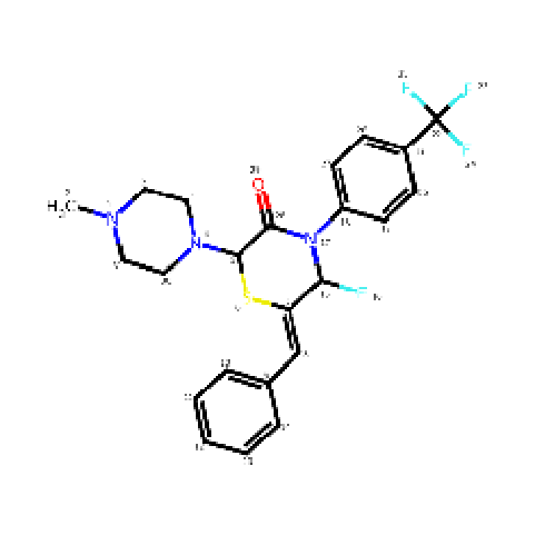 CN1CCN(C2SC(=Cc3ccccc3)C(F)N(c3ccc(C(F)(F)F)cc3)C2=O)CC1